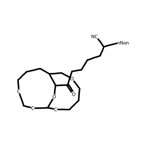 [CH2]CCCCCCCCC(C#N)CCCCC(=O)[C]1OC2CCCCCCC1COCCCC2